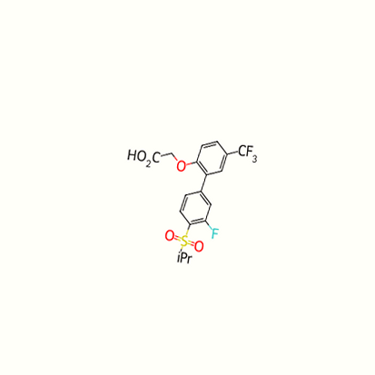 CC(C)S(=O)(=O)c1ccc(-c2cc(C(F)(F)F)ccc2OCC(=O)O)cc1F